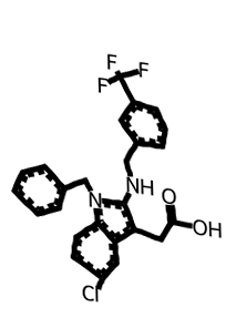 O=C(O)Cc1c(NCc2cccc(C(F)(F)F)c2)n(Cc2ccccc2)c2ccc(Cl)cc12